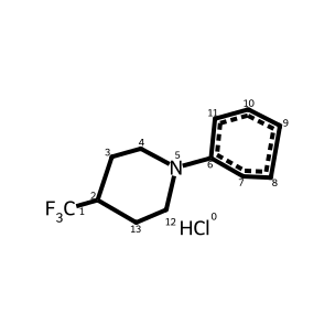 Cl.FC(F)(F)C1CCN(c2ccccc2)CC1